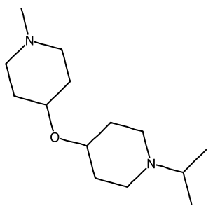 CC(C)N1CCC(OC2CCN(C)CC2)CC1